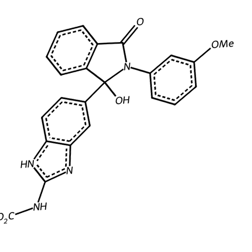 COc1cccc(N2C(=O)c3ccccc3C2(O)c2ccc3[nH]c(NC(=O)O)nc3c2)c1